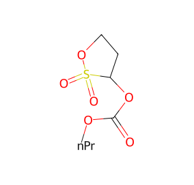 CCCOC(=O)OC1CCOS1(=O)=O